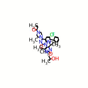 C=CC(=O)N1CCN(c2nc(=O)n(-c3c(C(C)C)nc(OCC(C)O)nc3C(C)C)c3nc(-c4ccccc4F)c(Cl)cc23)[C@@H](C)C1